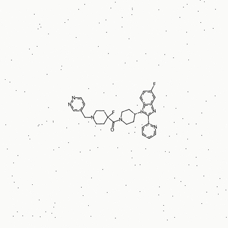 O=C(N1CCC(n2c(-c3ccccn3)nc3cc(F)ccc32)CC1)C1(F)CCN(Cc2ccnnc2)CC1